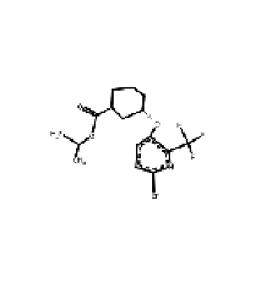 CC(P)OC(=O)[C@H]1CCC[C@H](Oc2ccc(Br)nc2C(F)(F)F)C1